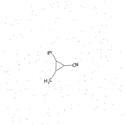 CC(C)C1C(C)C1C#N